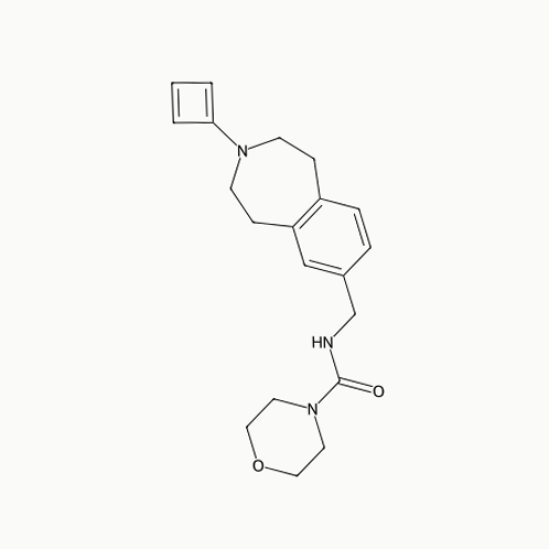 O=C(NCc1ccc2c(c1)CCN(C1=CC=C1)CC2)N1CCOCC1